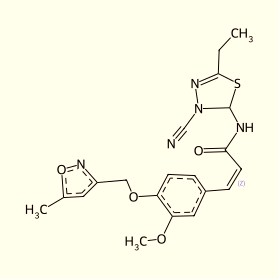 CCC1=NN(C#N)C(NC(=O)/C=C\c2ccc(OCc3cc(C)on3)c(OC)c2)S1